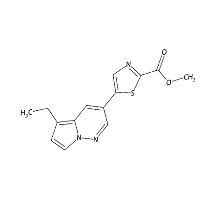 CCc1ccn2ncc(-c3cnc(C(=O)OC)s3)cc12